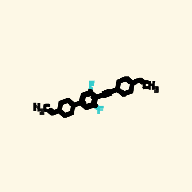 C=CC1CCC(c2cc(F)c(C#CC3CCC(CC)CC3)c(F)c2)CC1